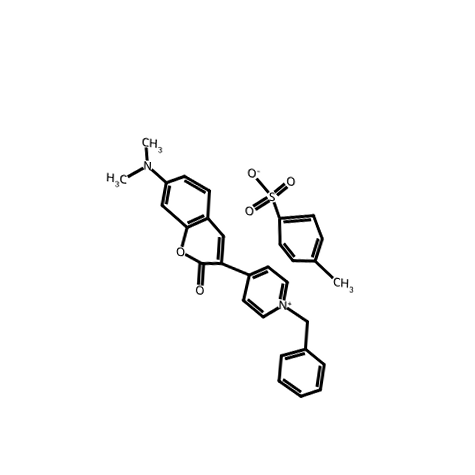 CN(C)c1ccc2cc(-c3cc[n+](Cc4ccccc4)cc3)c(=O)oc2c1.Cc1ccc(S(=O)(=O)[O-])cc1